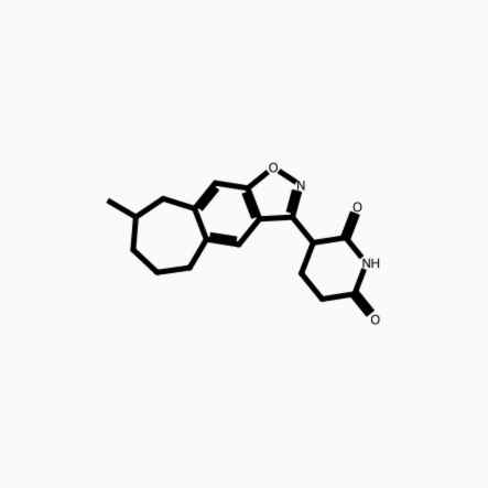 CC1CCCc2cc3c(C4CCC(=O)NC4=O)noc3cc2C1